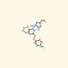 Cc1cc(Nc2nc(COc3ccc(Cl)cc3)nc3c2CCCC3)[nH]n1